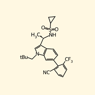 C[C@@H](NS(=O)(=O)C1CC1)c1cn(CC(C)(C)C)c2cc(-c3c(C#N)cccc3C(F)(F)F)ccc12